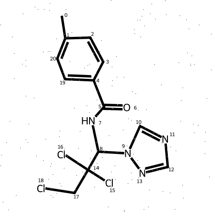 Cc1ccc(C(=O)NC(n2cncn2)C(Cl)(Cl)CCl)cc1